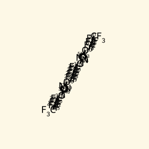 FC(F)(F)C(F)(F)C(F)(F)C(F)(F)COc1cnc(OCC(F)(F)C(F)(F)C(F)(F)C(F)(F)COc2ncc(OCC(F)(F)C(F)(F)C(F)(F)C(F)(F)F)cn2)nc1